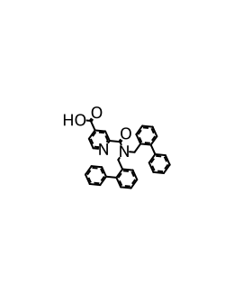 O=C(O)c1ccnc(C(=O)N(Cc2ccccc2-c2ccccc2)Cc2ccccc2-c2ccccc2)c1